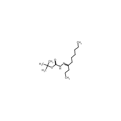 CCCCCCC(CCC)=NNC(=O)OC(C)(C)C